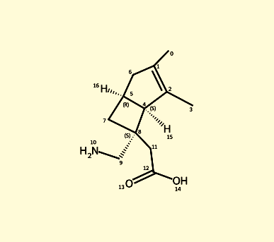 CC1=C(C)[C@@H]2[C@H](C1)C[C@]2(CN)CC(=O)O